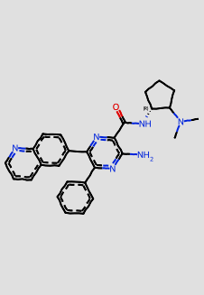 CN(C)C1CCC[C@H]1NC(=O)c1nc(-c2ccc3ncccc3c2)c(-c2ccccc2)nc1N